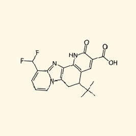 CC(C)(C)C1Cc2c(nc3c(C(F)F)cccn23)-c2[nH]c(=O)c(C(=O)O)cc21